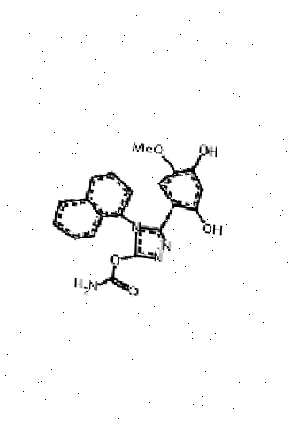 COc1cc(-c2nnc(OC(N)=O)n2-c2cccc3ccccc23)c(O)cc1O